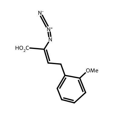 COc1ccccc1CC=C(N=[N+]=[N-])C(=O)O